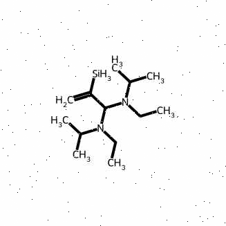 C=C([SiH3])C(N(CC)C(C)C)N(CC)C(C)C